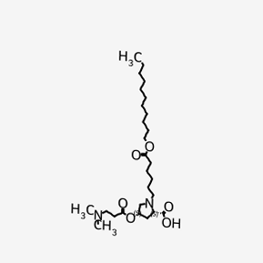 CCCCCCCCCCCOC(=O)CCCCCN1C[C@@H](OC(=O)CCN(C)C)C[C@H]1C(=O)O